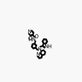 O=C(NCc1cccc(CN(Cc2c[nH]c3ccccc23)C2CCCc3cccnc32)c1)c1ccncc1Cl